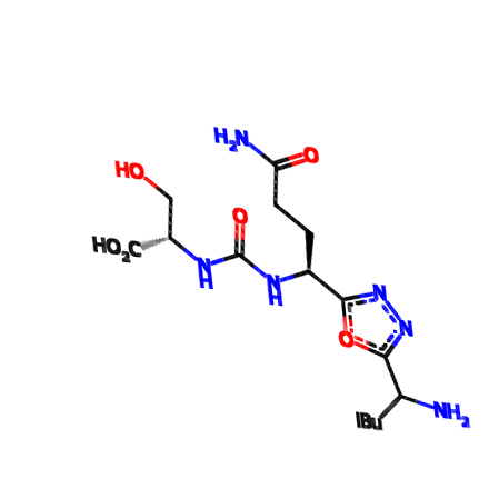 CCC(C)C(N)c1nnc([C@H](CCC(N)=O)NC(=O)N[C@@H](CO)C(=O)O)o1